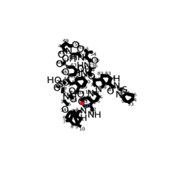 C/C(NCC12CC3(C)CC(C)(C1)CC(OCCN(CCS(=O)(=O)O)C(=O)OCc1ccc(NC(=O)[C@H](C)NC(=O)[C@@H](NC(=O)CN4C(=O)C=CC4=O)C(C)C)cc1CC[C@H]1C[C@@H](O)C[C@@H](C(=O)O)O1)(C3)C2)=C(/C=N)c1ccc(N2CCc3cccc(C(=O)Nc4nc5ccccc5s4)c3C2)nc1C(=O)O